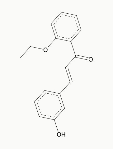 CCOc1ccccc1C(=O)/C=C/c1cccc(O)c1